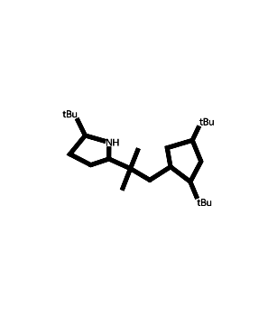 CC(C)(C)C1CC(CC(C)(C)C2CCC(C(C)(C)C)N2)C(C(C)(C)C)C1